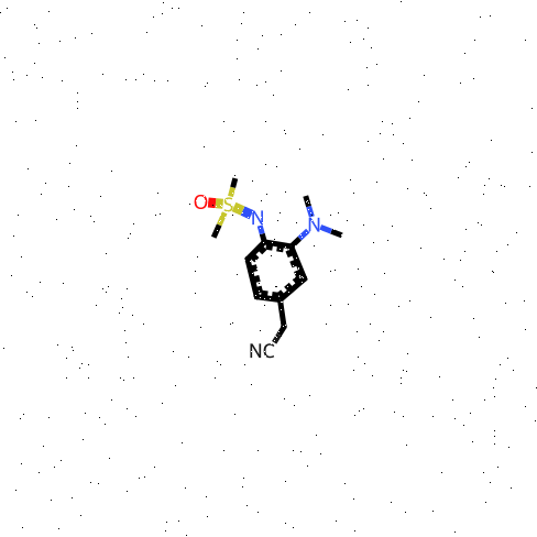 CN(C)c1cc(CC#N)ccc1N=S(C)(C)=O